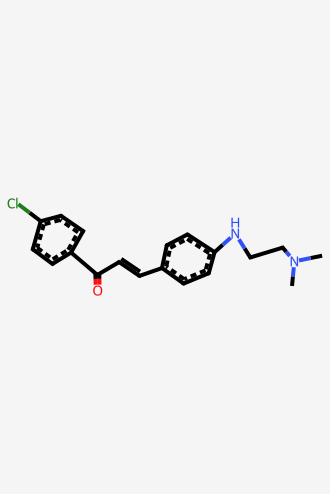 CN(C)CCNc1ccc(C=CC(=O)c2ccc(Cl)cc2)cc1